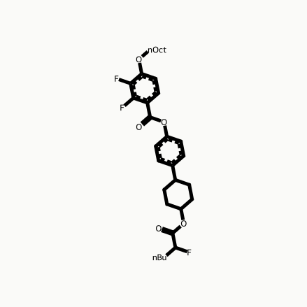 CCCCCCCCOc1ccc(C(=O)Oc2ccc(C3CCC(OC(=O)C(F)CCCC)CC3)cc2)c(F)c1F